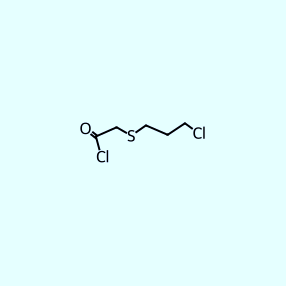 O=C(Cl)CSCCCCl